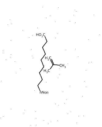 C=C(C)C.CCCCCCCCCCCCCCCCCC(=O)O